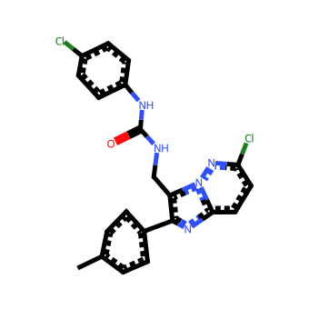 Cc1ccc(-c2nc3ccc(Cl)nn3c2CNC(=O)Nc2ccc(Cl)cc2)cc1